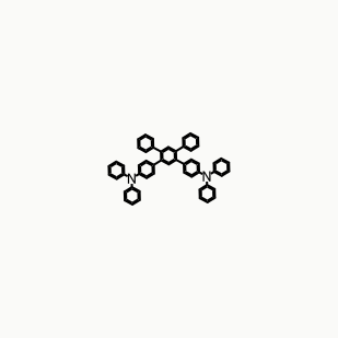 c1ccc(-c2cc(-c3ccccc3)c(-c3ccc(N(c4ccccc4)c4ccccc4)cc3)cc2-c2ccc(N(c3ccccc3)c3ccccc3)cc2)cc1